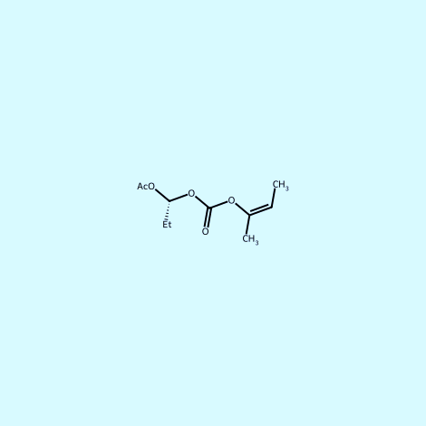 C/C=C(/C)OC(=O)O[C@H](CC)OC(C)=O